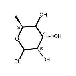 CCC1O[C@@H](C)C(O)[C@H](O)[C@@H]1O